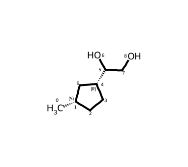 C[C@H]1CC[C@@H](C(O)CO)C1